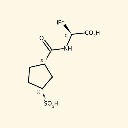 CC(C)[C@H](NC(=O)[C@H]1CC[C@@H](S(=O)(=O)O)C1)C(=O)O